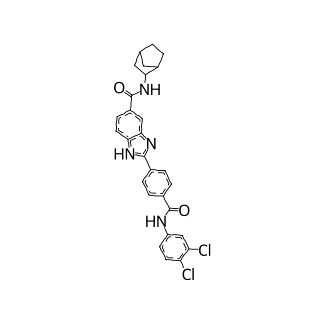 O=C(Nc1ccc(Cl)c(Cl)c1)c1ccc(-c2nc3cc(C(=O)NC4CC5CCC4C5)ccc3[nH]2)cc1